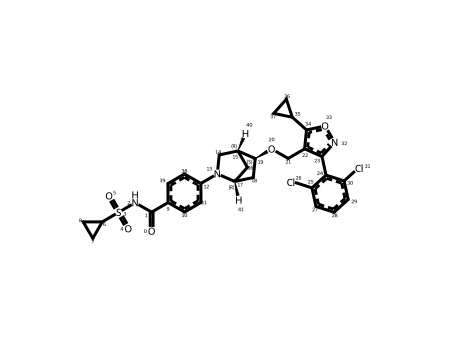 O=C(NS(=O)(=O)C1CC1)c1ccc(N2C[C@H]3C[C@@H]2C[C@@H]3OCc2c(-c3c(Cl)cccc3Cl)noc2C2CC2)cc1